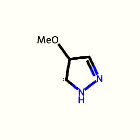 COC1[C]NN=C1